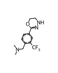 CN(C)Cc1ccc(C2=NNCCO2)cc1C(F)(F)F